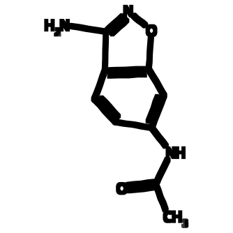 CC(=O)Nc1ccc2c(N)noc2c1